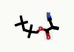 C=C(C#N)C(=O)OCC(C)(C)CC(C)(C)C